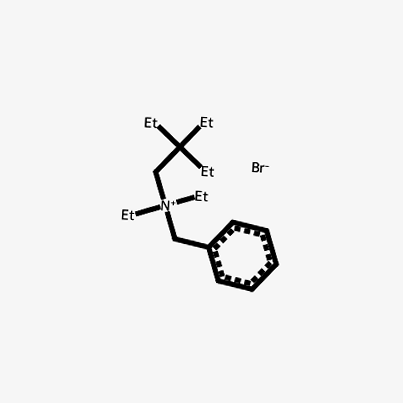 CCC(CC)(CC)C[N+](CC)(CC)Cc1ccccc1.[Br-]